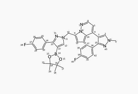 Cn1cc(-c2ccnn3c(Cn4cc(B5OC(C)(C)C(C)(C)O5)c(-c5ccc(F)cc5)n4)ccc23)c(-c2ccc(F)cc2)n1